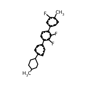 Cc1ccc(-c2ccc(-c3ccc(C4CCC(C)CC4)cc3)c(F)c2F)cc1F